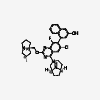 C[C@@H]1CN2CCC[C@]2(COc2nc(N3CC[C@H]4CC[C@@H](C3)N4)c3cc(Cl)c(-c4cc(O)cc5ccccc45)c(F)c3n2)C1